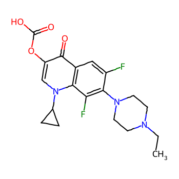 CCN1CCN(c2c(F)cc3c(=O)c(OC(=O)O)cn(C4CC4)c3c2F)CC1